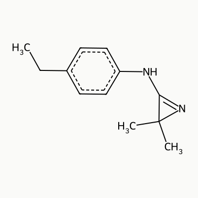 CCc1ccc(NC2=NC2(C)C)cc1